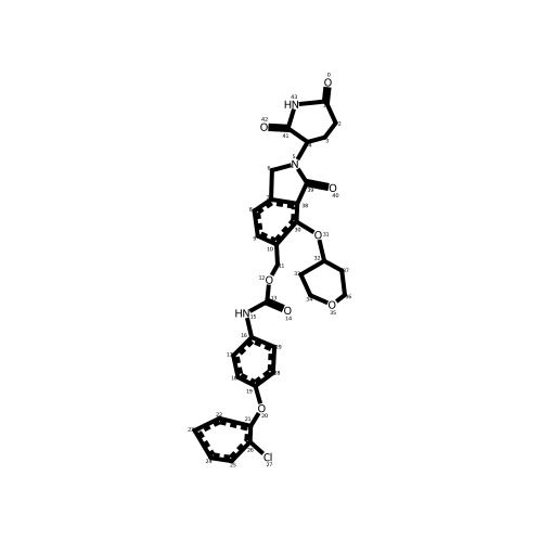 O=C1CCC(N2Cc3ccc(COC(=O)Nc4ccc(Oc5ccccc5Cl)cc4)c(OC4CCOCC4)c3C2=O)C(=O)N1